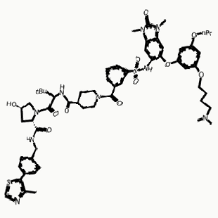 CCCOc1cc(OCCCCN(C)C)cc(Oc2cc3c(cc2NS(=O)(=O)c2cccc(C(=O)N4CCC(C(=O)NC(C(=O)N5C[C@H](O)C[C@H]5C(=O)NCc5ccc(-c6scnc6C)cc5)C(C)(C)C)CC4)c2)n(C)c(=O)n3C)c1